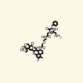 CC[C@@]1(O)C(=O)OCc2c1cc1n(c2=O)Cc2c-1nc1cc(F)c(C)c3c1c2[C@@H](NC(=O)COCCNC(=O)CNC(=O)[C@H](Cc1ccccc1)NC(=O)CN)CC3